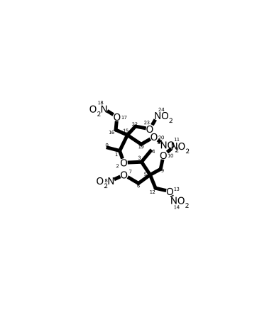 CC(OC(C)C(CO[N+](=O)[O-])(CO[N+](=O)[O-])CO[N+](=O)[O-])C(CO[N+](=O)[O-])(CO[N+](=O)[O-])CO[N+](=O)[O-]